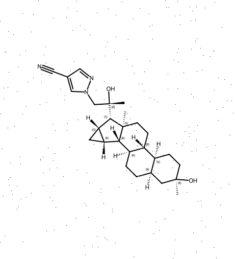 C[C@@]1(O)CC[C@H]2[C@H](CC[C@@H]3[C@@H]2CC[C@@]2(C)[C@H]3[C@@H]3C[C@@H]3[C@@H]2[C@@](C)(O)Cn2cc(C#N)cn2)C1